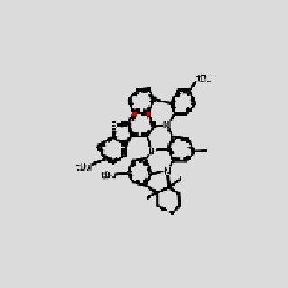 Cc1cc2c3c(c1)N1c4c(cc(C(C)(C)C)cc4C4(C)CCCCC14C)B3c1c(ccc3sc4cc(C(C)(C)C)ccc4c13)N2c1ccc(C(C)(C)C)cc1-c1ccccc1